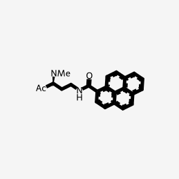 CN[C@@H](CCNC(=O)c1ccc2ccc3cccc4ccc1c2c34)C(C)=O